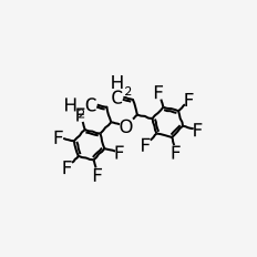 C=CC(OC(C=C)c1c(F)c(F)c(F)c(F)c1F)c1c(F)c(F)c(F)c(F)c1F